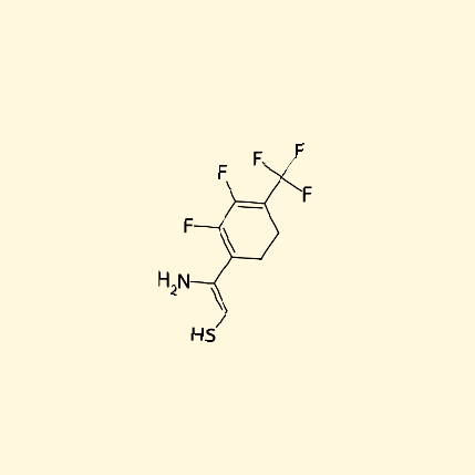 N/C(=C\S)C1=C(F)C(F)=C(C(F)(F)F)CC1